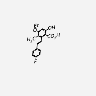 CCOc1cc(O)c(C(=O)O)c(C=Cc2ccc(F)cc2)c1C